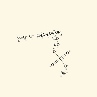 O.O.O.O.O.O.O=S(=O)([O-])[O-].[Ba+2].[Cl-].[Cl-].[Sr+2]